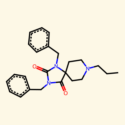 CCCN1CCC2(CC1)C(=O)N(Cc1ccccc1)C(=O)N2Cc1ccccc1